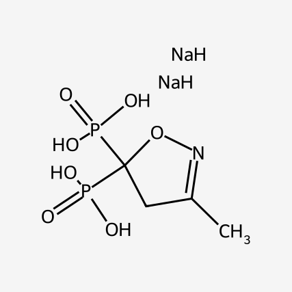 CC1=NOC(P(=O)(O)O)(P(=O)(O)O)C1.[NaH].[NaH]